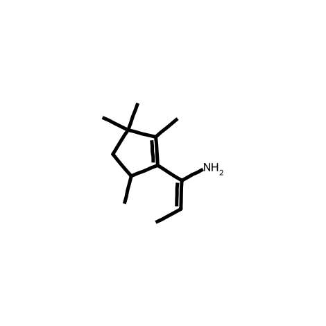 C/C=C(/N)C1=C(C)C(C)(C)CC1C